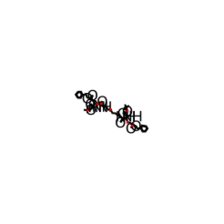 CC(C)(C)OC(=O)N[C@@H](CCC(=O)OCc1ccccc1)C(=O)NCCCCCCNC(=O)[C@H](CCC(=O)OCc1ccccc1)NC(=O)OC(C)(C)C